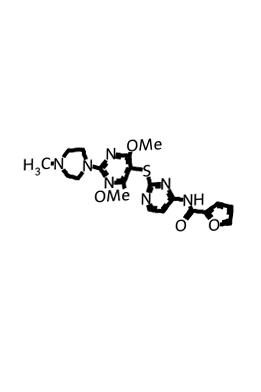 COc1nc(N2CCN(C)CC2)nc(OC)c1Sc1nccc(NC(=O)c2ccco2)n1